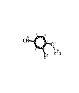 [C-]#[N+]c1ccc(OC(F)(F)F)c(Br)c1